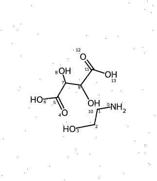 NCCO.O=C(O)C(O)C(O)C(=O)O